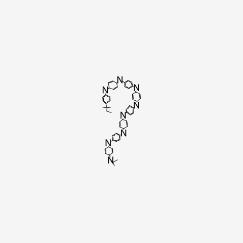 CCC(C)(C)c1ccc(N=C2C=CC(=Nc3ccc(N=C4C=CC(=Nc5ccc(N=C6C=CC(=Nc7ccc(N=C8C=CC(=NC(C)C)C=C8)cc7)C=C6)cc5)C=C4)cc3)C=C2)cc1